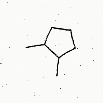 CC1[CH]CCC1C